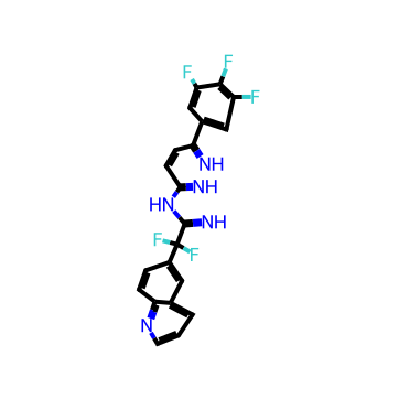 N=C(/C=C\C(=N)c1cc(F)c(F)c(F)c1)NC(=N)C(F)(F)c1ccc2ncccc2c1